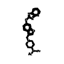 CC(=O)N(C(C)C)C1CCN(Cc2coc3cc(Oc4nc5ncccc5s4)ccc23)CC1